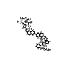 COC(=O)N[C@H](C(=O)N1C2C(C[C@H]1c1nc3ccc4cc(-c5ccc6c(ccc7nc([C@@H]8[C@H]9CC[C@H](C9)N8C(=O)[C@H](NC(=O)OC)c8ccccc8)[nH]c76)c5)ccc4c3[nH]1)[C@H]2C)C(C)C